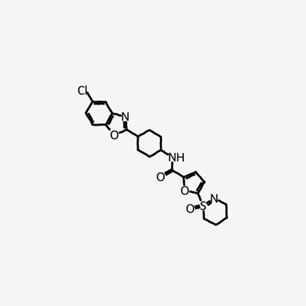 O=C(NC1CCC(c2nc3cc(Cl)ccc3o2)CC1)c1ccc(S2(=O)=NCCCC2)o1